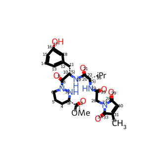 COC(=O)[C@@H]1CCCN(C(=O)[C@H](Cc2cccc(O)c2)NC(=O)[C@@H](NC(=O)CN2C(=O)C=C(C)C2=O)C(C)C)N1